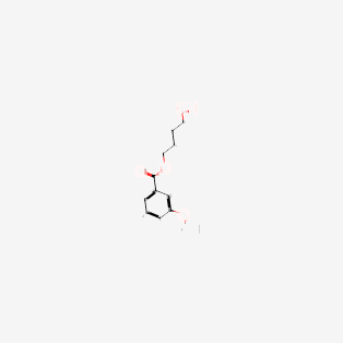 COc1cccc(C(=O)OCCCCO)c1